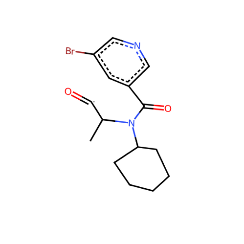 CC([C]=O)N(C(=O)c1cncc(Br)c1)C1CCCCC1